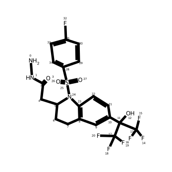 NNC(=O)CC1CCc2cc(C(O)(C(F)(F)F)C(F)(F)F)ccc2N1S(=O)(=O)c1ccc(F)cc1